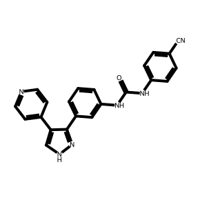 N#Cc1ccc(NC(=O)Nc2cccc(-c3n[nH]cc3-c3ccncc3)c2)cc1